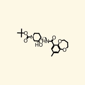 Cc1cc2c(c(C(=O)NC[C@H]3CCN(C(=O)OC(C)(C)C)C[C@@H]3O)c1)OCCCO2